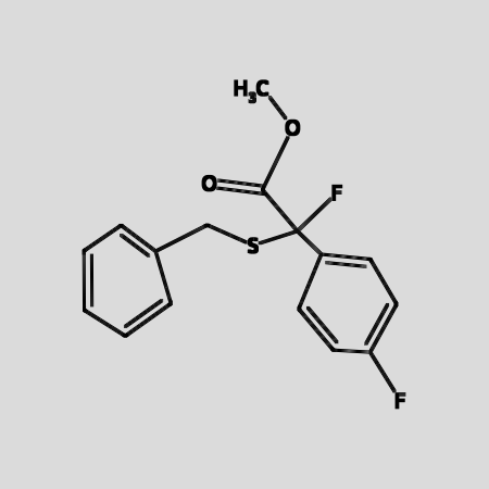 COC(=O)C(F)(SCc1ccccc1)c1ccc(F)cc1